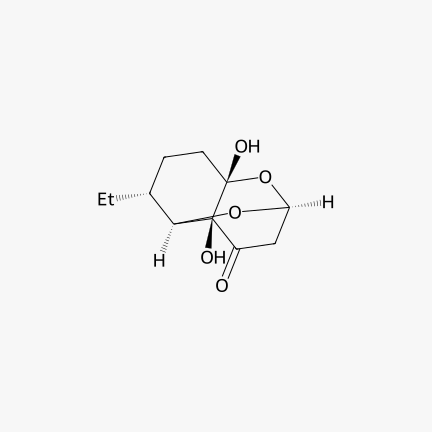 CC[C@@H]1CC[C@]2(O)O[C@H]3CC(=O)[C@]2(O)[C@@H]1O3